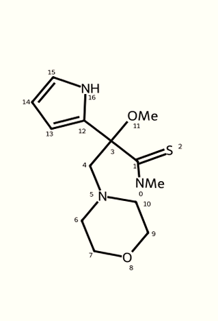 CNC(=S)C(CN1CCOCC1)(OC)c1ccc[nH]1